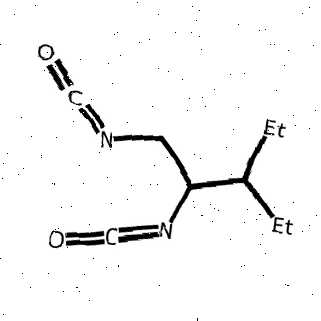 CCC(CC)C(CN=C=O)N=C=O